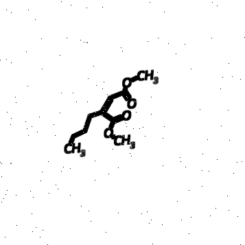 CCCC/C(=C/C(=O)OC)C(=O)OC